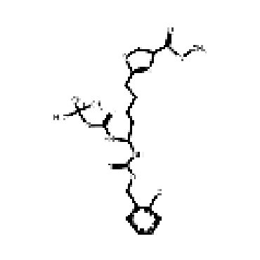 COC(=O)C1COC(CCCCC(NC(=O)OCc2ccccc2Cl)NC(=O)OC(C)(C)C)=N1